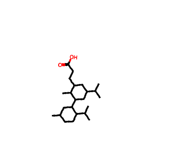 CC1CCC(C(C)C)C(C2CC(C(C)C)CC(CCC(=O)O)C2C)C1